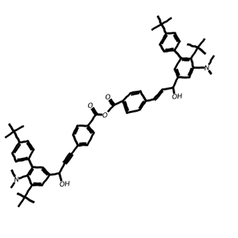 CN(C)c1cc(C(O)C=Cc2ccc(C(=O)OC(=O)c3ccc(C#CC(O)c4cc(-c5ccc(C(C)(C)C)cc5)c(N(C)C)c(C(C)(C)C)c4)cc3)cc2)cc(-c2ccc(C(C)(C)C)cc2)c1C(C)(C)C